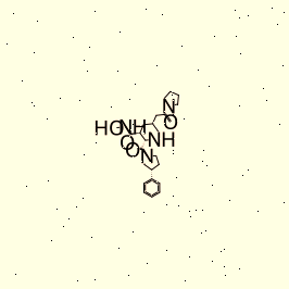 O=C(NO)[C@H]1CC(CC(=O)N2CCCC2)CN[C@@H]1C(=O)N1CC[C@H](c2ccccc2)C1